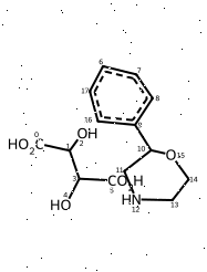 O=C(O)C(O)C(O)C(=O)O.c1ccc(C2CNCCO2)cc1